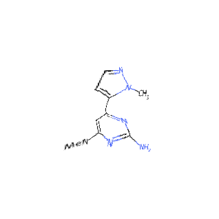 CNc1cc(-c2ccnn2C)nc(N)n1